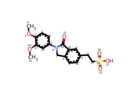 COc1ccc(N2Cc3ccc(CCS(=O)(=O)O)cc3C2=O)cc1OC